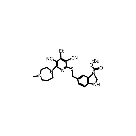 CCc1c(C#N)c(SCc2ccc3c(c2)N(C(=O)OC(C)(C)C)CN3)nc(N2CCCN(C)CC2)c1C#N